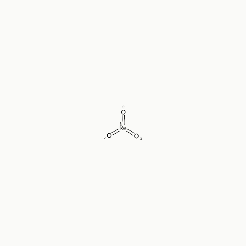 [O]=[Re](=[O])=[O]